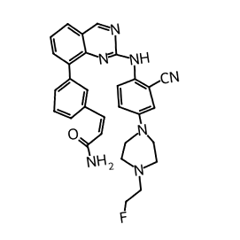 N#Cc1cc(N2CCN(CCF)CC2)ccc1Nc1ncc2cccc(-c3cccc(C=CC(N)=O)c3)c2n1